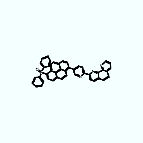 O=P(c1ccccc1)(c1ccccc1)c1ccc2ccc3c(-c4cnc(-c5ccc6ccc7cccnc7c6n5)nc4)ccc4ccc1c2c43